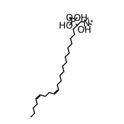 CCCC/C=C\CC/C=C\CCCCCCCCCCCCCC(O)(C[N+](C)(C)C)P(=O)(O)O